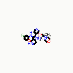 CC(C)(COc1cnccc1-c1[nH]c2c(c1Nc1cccc(F)c1)C(=O)NCC2)N1CCOCC1